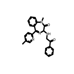 Cc1ccc(C2=NC(NCC(=O)c3ccccc3)C(=O)N(C)c3ccccc32)nc1